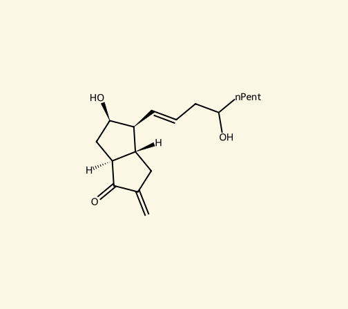 C=C1C[C@H]2[C@H](C=CCC(O)CCCCC)[C@H](O)C[C@@H]2C1=O